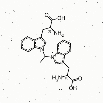 CC(n1cc(C[C@H](N)C(=O)O)c2ccccc21)n1cc(C[C@H](N)C(=O)O)c2ccccc21